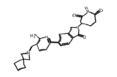 Nc1nc(-c2ccc3c(c2)CN(C2CCC(=O)NC2=O)C3=O)ccc1CN1CC2(CCC2)C1